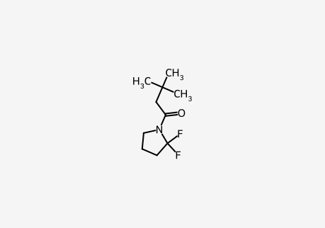 CC(C)(C)CC(=O)N1CCCC1(F)F